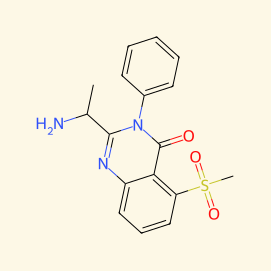 CC(N)c1nc2cccc(S(C)(=O)=O)c2c(=O)n1-c1ccccc1